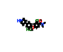 CN(C)C(=O)c1ccc(O[C@H]2CC[C@@H](C3CCNCC3)CC2)cc1Cl.Cl